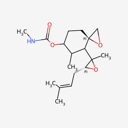 CNC(=O)OC1CC[C@]2(CO2)C(C2(C)O[C@@H]2CC=C(C)C)C1C